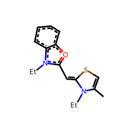 CCN1C(C)=CS/C1=C\c1oc2ccccc2[n+]1CC